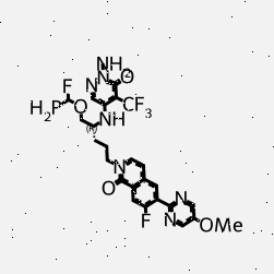 COc1cnc(-c2cc3ccn(CCC[C@H](COC(F)P)Nc4cnn(N)c(=O)c4C(F)(F)F)c(=O)c3cc2F)nc1